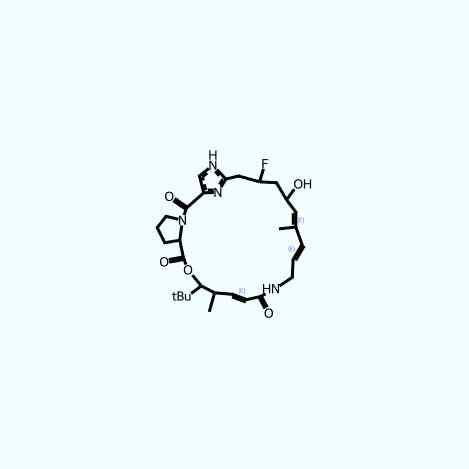 CC1=C\C(O)CC(F)Cc2nc(c[nH]2)C(=O)N2CCCC2C(=O)OC(C(C)(C)C)C(C)/C=C/C(=O)NC\C=C\1